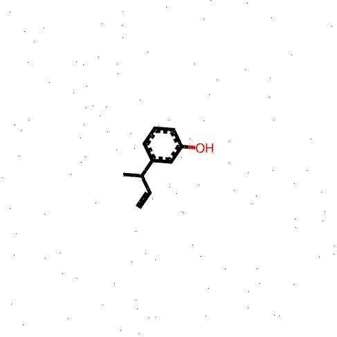 C=CC(C)c1cccc(O)c1